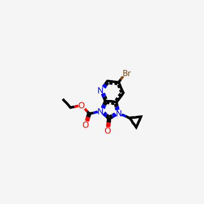 CCOC(=O)n1c(=O)n(C2CC2)c2cc(Br)cnc21